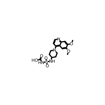 COc1cc2nccc(N3CCC(NS(=O)(=O)NC(=O)O)CC3)c2cc1OC